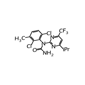 Cc1ccc(Cl)c(N(C(N)=O)c2nc(C(C)C)cc(C(F)(F)F)n2)c1Cl